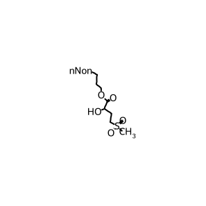 CCCCCCCCCCCCOC(=O)C(O)CCS(C)(=O)=O